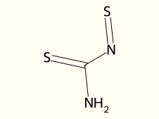 NC(=S)N=S